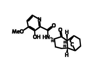 COc1ccnc(C(=O)N[C@H]2CC[C@H]3C4CCC(CC4)[C@H]3C2=O)c1O